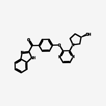 O=C(c1ccc(Oc2nccnc2N2CC[C@@H](O)C2)cc1)c1nc2ccccc2[nH]1